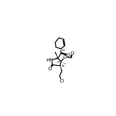 C[C@]1(OC=O)[C@@H](CCCl)C(=O)N[C@]1(C)C(=O)[C@@H]1C=CCCC1